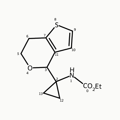 CCOC(=O)NC1(C2OCCc3sccc32)CC1